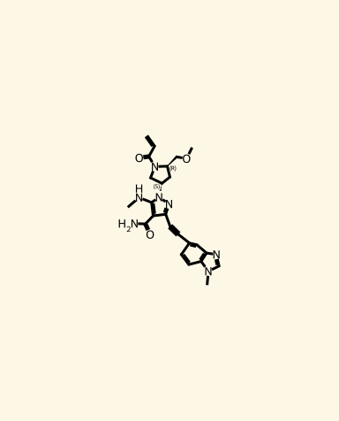 C=CC(=O)N1C[C@@H](n2nc(C#Cc3ccc4c(c3)ncn4C)c(C(N)=O)c2NC)C[C@@H]1COC